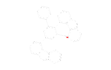 N#Cc1cc(-c2cccc3sc4ccccc4c23)cc(-c2ccccc2)c1-c1cccc2sc3ccccc3c12